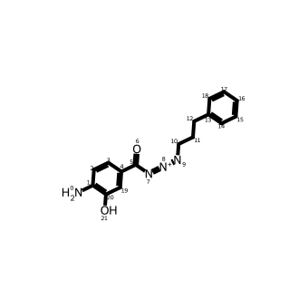 Nc1ccc(C(=O)N=[N+]=NCCCc2ccccc2)cc1O